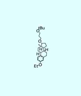 CCOc1ccc2c(c1)CC[C@@H]1[C@@H]2CC[C@]2(C)[C@@H](OCCCOC(C)(C)C)CC[C@@H]12